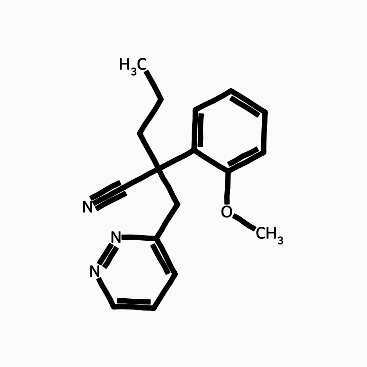 CCCC(C#N)(Cc1cccnn1)c1ccccc1OC